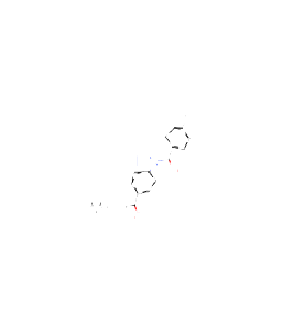 COC(=O)c1ccc(NC(=O)c2ccc(C)cc2)cc1